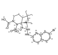 CC(C)(C)C1CCN(C(=O)O)N(C(=O)O)[C@]1(C(=O)NNc1ccc2ccc(Br)cc2n1)C(C)(C)C